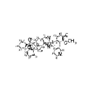 COc1cc(-c2c(-c3ccncc3)nn3c4c(cnc23)CC2C(S(=O)(=O)c3ccccc3)C3(c5ccccc5)CC4N23)ccc1Cl